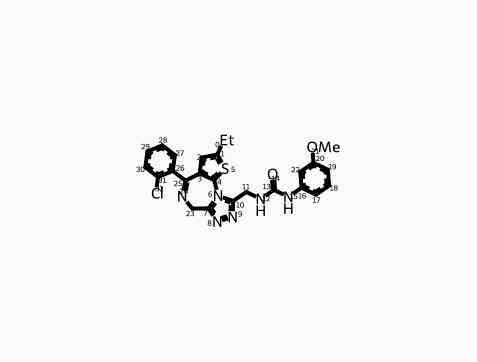 CCc1cc2c(s1)-n1c(nnc1CNC(=O)Nc1cccc(OC)c1)CN=C2c1ccccc1Cl